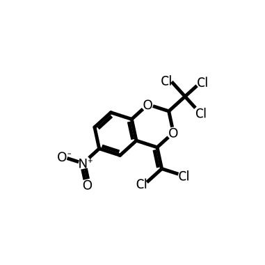 O=[N+]([O-])c1ccc2c(c1)C(=C(Cl)Cl)OC(C(Cl)(Cl)Cl)O2